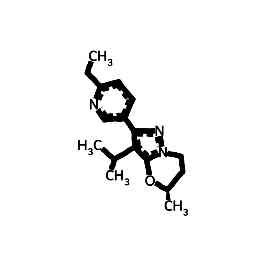 CCc1ccc(-c2nn3c(c2C(C)C)O[C@H](C)CC3)cn1